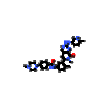 Cc1ccc(Nc2ncc3cc(-c4cc(NC(=O)c5ccc(N6CCN(C)CC6)cc5)ccc4C)n(C)c(=O)c3n2)cn1